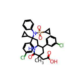 CC1(CC(=O)O)CC(c2cccc(Cl)c2)C(CC(c2ccc(Cl)cc2)(C2CC2)N(c2ccccc2)S(=O)(=O)C2CC2)NC1=O